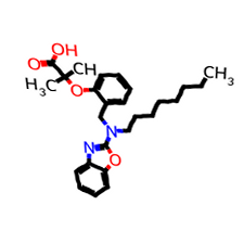 CCCCCCCCN(Cc1ccccc1OC(C)(C)C(=O)O)c1nc2ccccc2o1